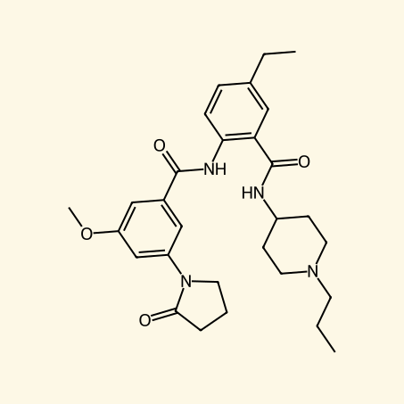 CCCN1CCC(NC(=O)c2cc(CC)ccc2NC(=O)c2cc(OC)cc(N3CCCC3=O)c2)CC1